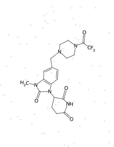 Cn1c(=O)n(C2CCC(=O)NC2=O)c2ccc(CN3CCN(C(=O)C(F)(F)F)CC3)cc21